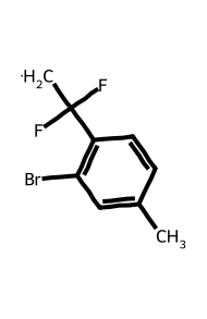 [CH2]C(F)(F)c1ccc(C)cc1Br